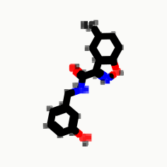 CC1CCc2onc(C(=O)NCc3cccc(O)c3)c2C1